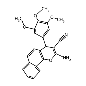 COc1cc(C2C(C#N)=C(N)Oc3c2ccc2ccccc32)cc(OC)c1OC